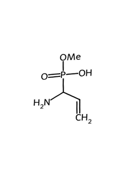 C=CC(N)P(=O)(O)OC